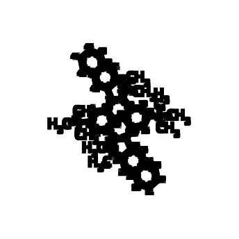 CC(C)(C)c1cc2c3c(c4cc(C(C)(C)C)cc5c6c(c(c1)c2c54)[Si](C)(C)c1cc2ccccc2cc1-6)[Si](C)(C)c1cc2ccccc2cc1-3